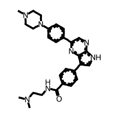 CN(C)CCNC(=O)c1ccc(-c2c[nH]c3ncc(-c4ccc(N5CCN(C)CC5)cc4)nc23)cc1